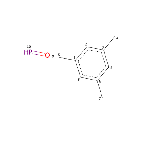 Cc1cc(C)cc(C)c1.O=P